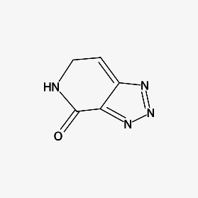 O=C1NCC=C2N=NN=C12